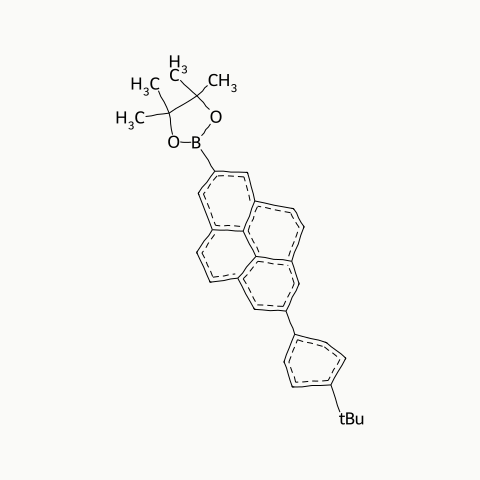 CC(C)(C)c1ccc(-c2cc3ccc4cc(B5OC(C)(C)C(C)(C)O5)cc5ccc(c2)c3c45)cc1